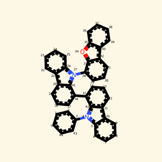 c1ccc(-n2c3ccccc3c3cccc(-c4cccc5c6ccccc6n(-c6cccc7c6oc6ccccc67)c45)c32)cc1